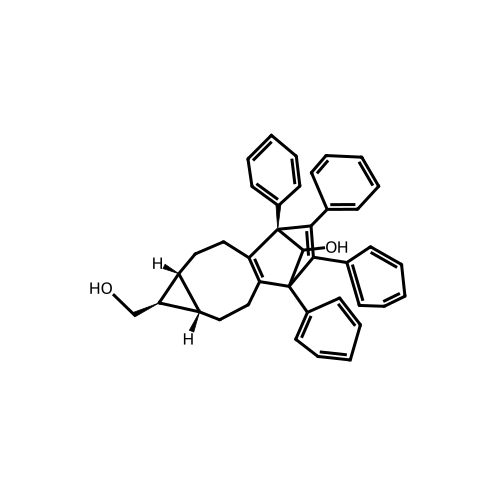 OC[C@@H]1[C@H]2CCC3=C(CC[C@@H]12)[C@]1(c2ccccc2)C(c2ccccc2)=C(c2ccccc2)C3(c2ccccc2)C1O